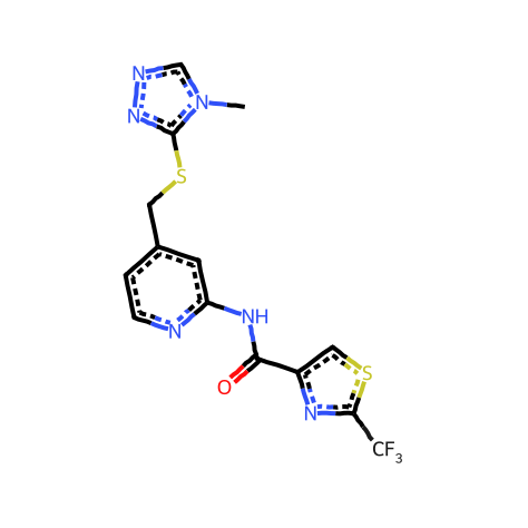 Cn1cnnc1SCc1ccnc(NC(=O)c2csc(C(F)(F)F)n2)c1